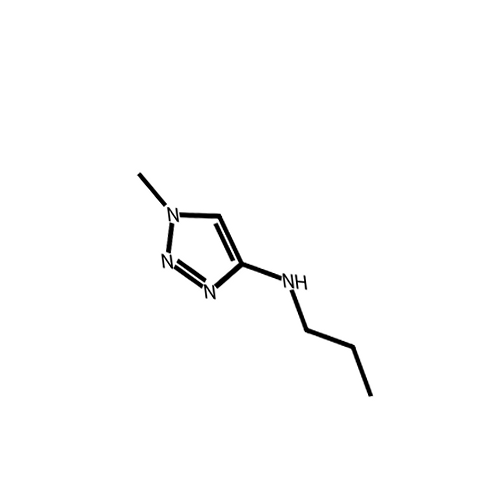 CCCNc1cn(C)nn1